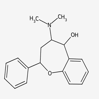 CN(C)C1CC(c2ccccc2)Oc2ccccc2C1O